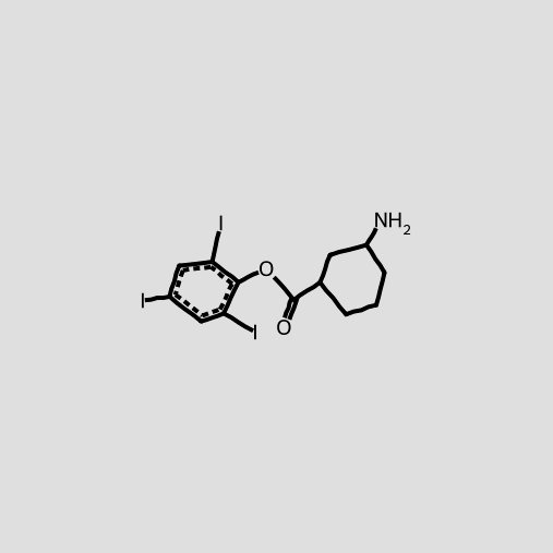 NC1CCCC(C(=O)Oc2c(I)cc(I)cc2I)C1